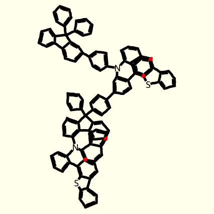 c1ccc(C2(c3ccccc3)c3ccccc3-c3ccc(-c4ccc(N(c5cc(-c6ccc(C7(c8ccccc8)c8ccccc8-c8c(N(c9ccccc9-c9cccc%10c9sc9ccccc9%10)c9cccc%10ccccc9%10)cccc87)cc6)ccc5-c5cccc6c5sc5ccccc56)c5cccc6ccccc56)cc4)cc32)cc1